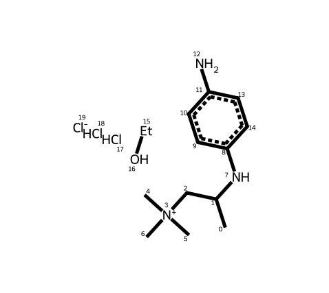 CC(C[N+](C)(C)C)Nc1ccc(N)cc1.CCO.Cl.Cl.[Cl-]